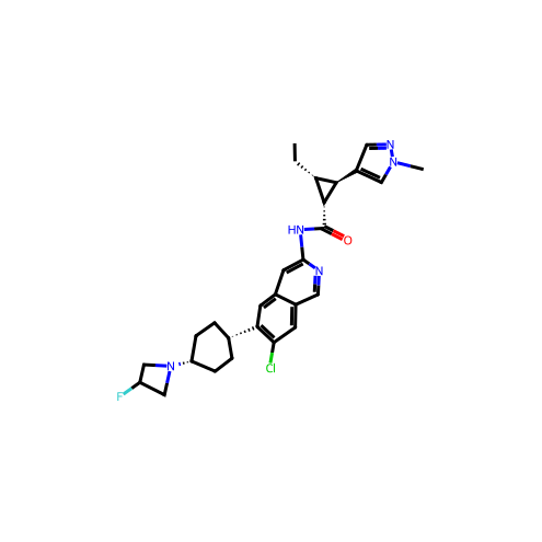 CC[C@H]1[C@@H](C(=O)Nc2cc3cc([C@H]4CC[C@@H](N5CC(F)C5)CC4)c(Cl)cc3cn2)[C@@H]1c1cnn(C)c1